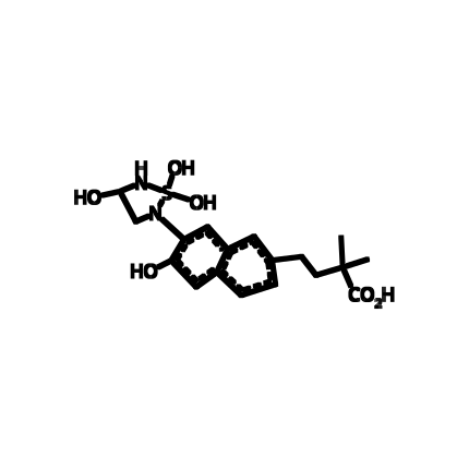 CC(C)(CCc1ccc2cc(O)c(N3CC(O)NS3(O)O)cc2c1)C(=O)O